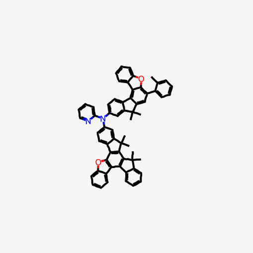 Cc1ccccc1-c1cc2c(c3c1oc1ccccc13)-c1ccc(N(c3ccc4c(c3)C(C)(C)c3c5c(c6c(oc7ccccc76)c3-4)-c3ccccc3C5(C)C)c3ccccn3)cc1C2(C)C